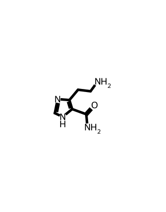 NCCc1nc[nH]c1C(N)=O